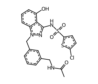 CC(=O)NCc1cccc(Cn2nc(NS(=O)(=O)c3ccc(Cl)s3)c3c(O)cccc32)c1